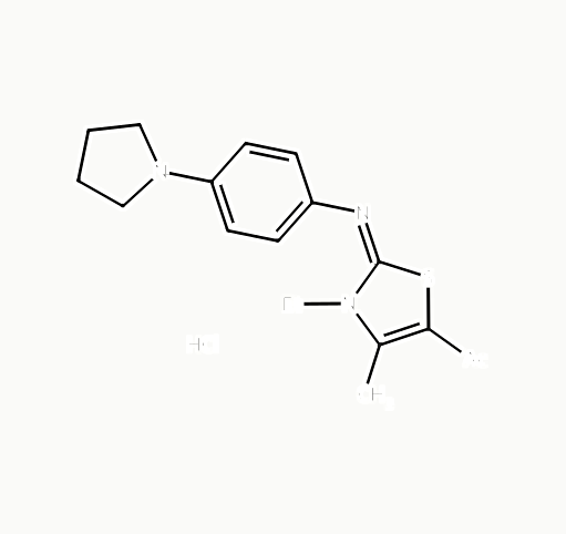 CCn1c(C)c(C(C)=O)sc1=Nc1ccc(N2CCCC2)cc1.Cl